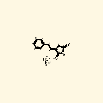 O=C1CC(=CCc2ccccc2)C(=O)O1.[Na+].[OH-]